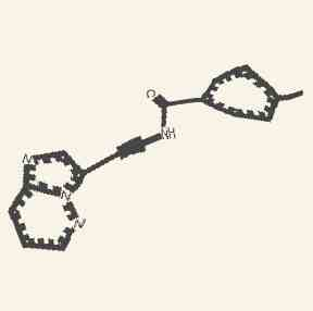 Cc1ccc(C(=O)NC#Cc2cnc3cccnn23)cc1